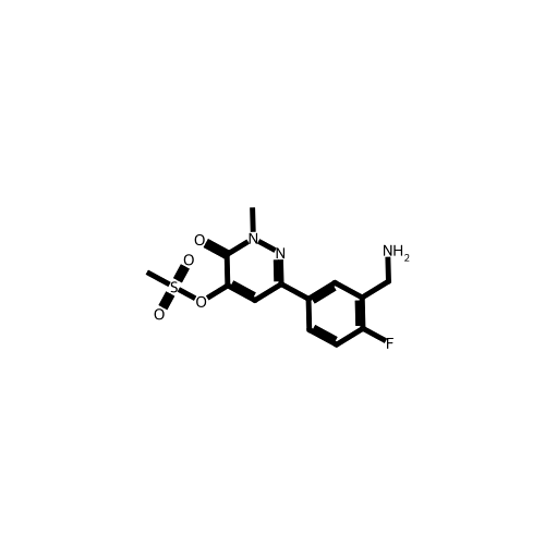 Cn1nc(-c2ccc(F)c(CN)c2)cc(OS(C)(=O)=O)c1=O